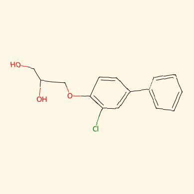 OCC(O)COc1ccc(-c2ccccc2)cc1Cl